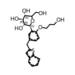 OCCCOc1ccc(Cc2cc3ccccc3s2)cc1[C@@H]1OC(CO)[C@@H](O)[C@H](O)[C@H]1O